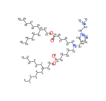 CCCCCCC(CCCCCC)CCOC(=O)CCCCCN(CCCCCC(=O)OCCC(CCCCCC)CCCCCC)Cc1cnn(CCN(C)C)c1